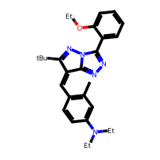 CCOc1ccccc1-c1nnc2/c(=C\c3ccc(N(CC)CC)cc3C)c(C(C)(C)C)nn12